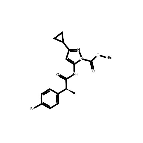 C[C@H](C(=O)Nc1cc(C2CC2)nn1C(=O)OC(C)(C)C)c1ccc(Br)cc1